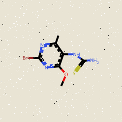 COc1nc(Br)nc(C)c1NC(N)=S